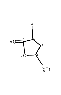 CC1CC(I)C(=O)O1